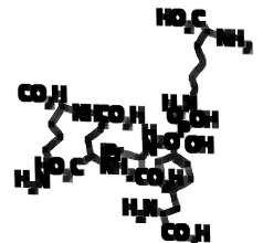 CC(C)C(N)C(=O)O.NC(CCC(=O)O)C(=O)O.NC(Cc1ccc(OP(=O)(O)O)cc1)C(=O)O.NCCCCC(N)C(=O)O.NCCCCC(N)C(=O)O